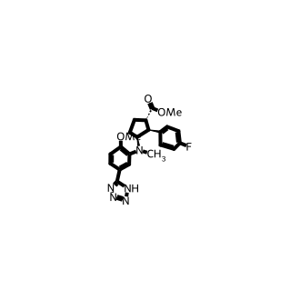 COC(=O)[C@H]1CC[C@H](N(C)c2cc(-c3nnn[nH]3)ccc2OC)[C@@H]1c1ccc(F)cc1